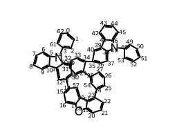 c1ccc(-n2c3ccccc3c3cc(-c4ccc5oc6cccc(-c7cccc(-c8ccccc8-c8ccc9c(c8)c8ccccc8n9-c8ccccc8)c7)c6c5c4)ccc32)cc1